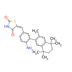 Cc1cc2c(cc1-c1cc(/C=C3/SC(=O)NC3=O)ccc1N)C(C)(C)CCC2(C)C